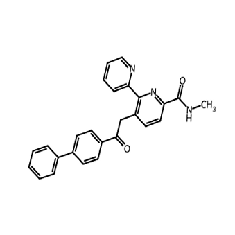 CNC(=O)c1ccc(CC(=O)c2ccc(-c3ccccc3)cc2)c(-c2ccccn2)n1